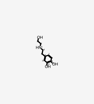 OCCNCCc1ccc(O)c(O)c1